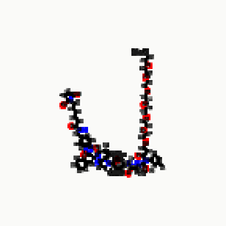 CC[C@H](C)[C@@H]([C@@H](CC(=O)N1CCC[C@H]1[C@H](OC)[C@@H](C)C(=O)N[C@@H](Cc1ccccc1)C(=O)Nc1ccc(CNC(=O)CCCCCN2C(=O)C=CC2=O)cc1)OC)N(C)C(=O)[C@@H](NC(=O)N(C(=O)CCOCCOCCOCCOCCOCCOCCOCCOC)C1CCC(C)[C@@H]1C)C(C)C